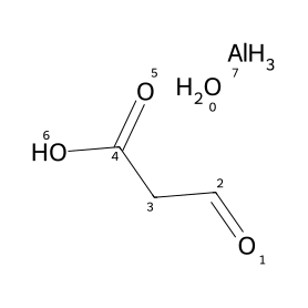 O.O=CCC(=O)O.[AlH3]